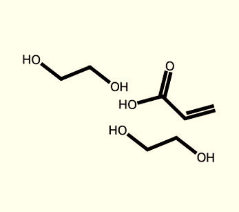 C=CC(=O)O.OCCO.OCCO